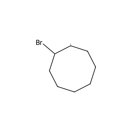 BrC1[CH]CCCCCC1